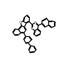 c1ccc(-c2ccc(-c3cc4c(oc5cccc(-c6nc(-c7ccc8ccccc8c7)c7ccccc7n6)c54)c4ccccc34)cc2)cc1